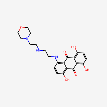 O=C1c2c(O)ccc(O)c2C(=O)c2c(NCCNCCN3CCOCC3)ccc(O)c21